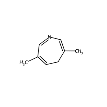 CC1=CCC(C)=CN=C1